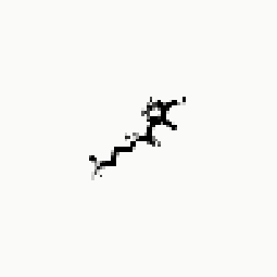 CCc1onc(C(=O)NCCCN(C)CC)c1C